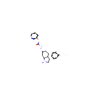 COc1ccc([C@@]23CCC(=NNC(=O)Nc4cccnc4)C[C@@H]2N(C)CC3)cc1OC